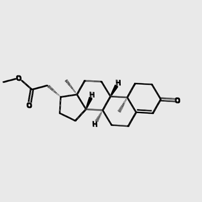 COC(=O)C[C@H]1CC[C@H]2[C@@H]3CCC4=CC(=O)CC[C@]4(C)[C@H]3CC[C@]12C